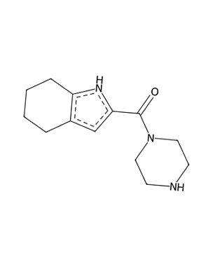 O=C(c1cc2c([nH]1)CCCC2)N1CCNCC1